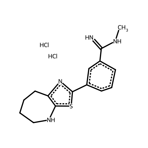 CNC(=N)c1cccc(-c2nc3c(s2)NCCCC3)c1.Cl.Cl